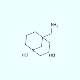 Cl.Cl.NCC12CCCN(CCC1)C2